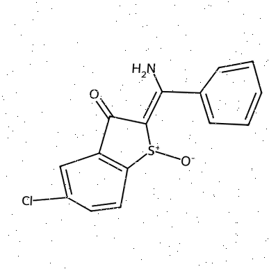 N/C(=C1\C(=O)c2cc(Cl)ccc2[S+]1[O-])c1ccccc1